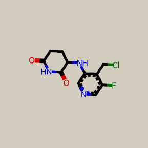 O=C1CCC(Nc2cncc(F)c2CCl)C(=O)N1